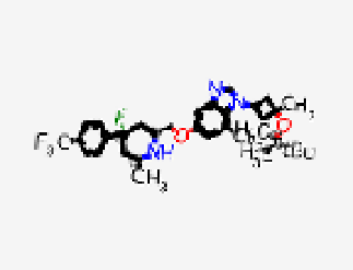 C[C@H]1C[C@@](F)(c2ccc(C(F)(F)F)cc2)C[C@@H](COc2cc(C(F)(F)F)c3c(c2)ncn3C2CC(C)(O[Si](C)(C)C(C)(C)C)C2)N1